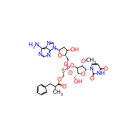 CO[C@H]1C(OP(=O)(OC[C@H]2O[C@@H](n3cnc4c(N)ncnc43)CC2O)SCOC(=O)C(C)Cc2ccccc2)[C@@H](CO)O[C@H]1n1ccc(=O)[nH]c1=O